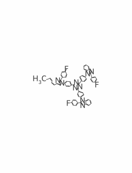 CC/C=C\C=C/c1cn(-c2ccc(-c3nc(-c4ccc(-n5c(-c6ccc(F)cc6)nc6ccccc65)cc4)nc(-c4ccc(-n5c(-c6ccc(F)cc6)nc6ccccc65)cc4)n3)cc2)c(-c2ccc(F)cc2)n1